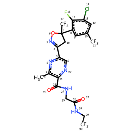 Cc1nc(C2=NOC(c3cc(C(F)(F)F)cc(Cl)c3F)(C(F)(F)F)C2)cnc1C(=O)NCC(=O)NCC(F)(F)F